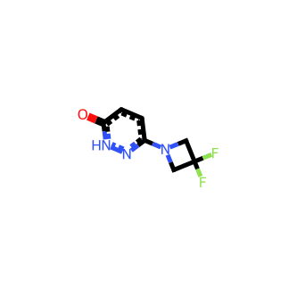 O=c1ccc(N2CC(F)(F)C2)n[nH]1